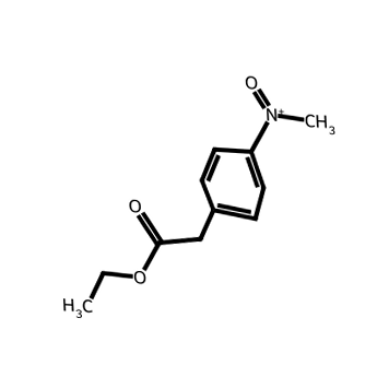 CCOC(=O)Cc1ccc([N+](C)=O)cc1